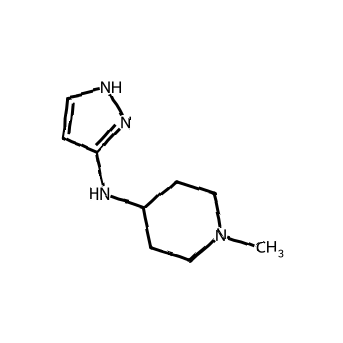 CN1CCC(Nc2cc[nH]n2)CC1